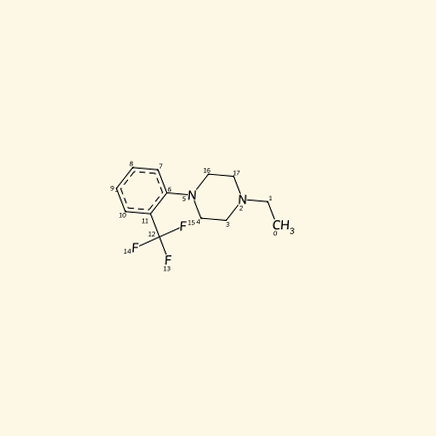 CCN1CCN(c2cc[c]cc2C(F)(F)F)CC1